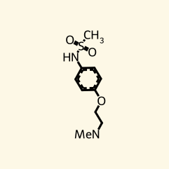 CNCCOc1ccc(NS(C)(=O)=O)cc1